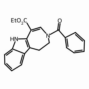 CCOC(=O)C1=CN(C(=O)c2ccccc2)CCc2c1[nH]c1ccccc21